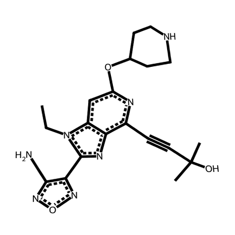 CCn1c(-c2nonc2N)nc2c(C#CC(C)(C)O)nc(OC3CCNCC3)cc21